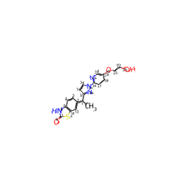 CC(c1ccc2[nH]c(=O)sc2c1)c1ccn(-c2ccc(OCCO)cn2)n1